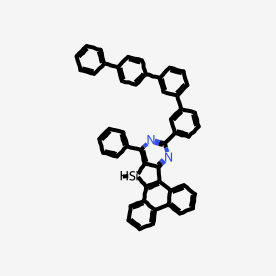 C[SiH]1c2c(-c3ccccc3)nc(-c3cccc(-c4cccc(-c5ccc(-c6ccccc6)cc5)c4)c3)nc2-c2c1c1ccccc1c1ccccc21